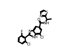 CC(NC(=O)c1cc(Cl)c2[nH]c(-c3c(F)cccc3Cl)nc2c1)c1nccs1